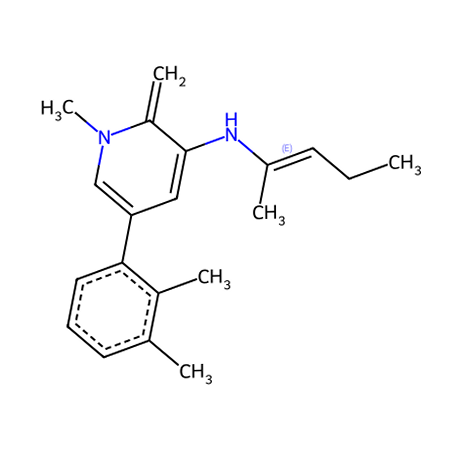 C=C1C(N/C(C)=C/CC)=CC(c2cccc(C)c2C)=CN1C